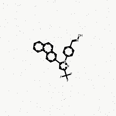 ON=Cc1ccc(-n2nc(C(F)(F)F)cc2-c2ccc3c(ccc4ccccc43)c2)cc1